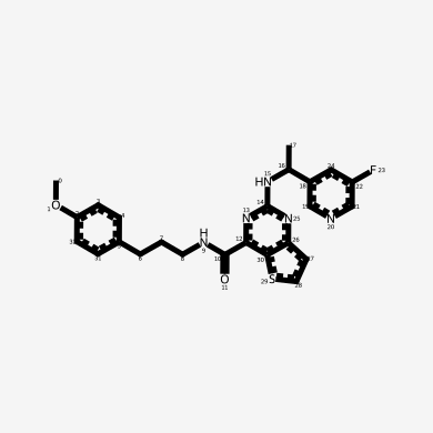 COc1ccc(CCCNC(=O)c2nc(NC(C)c3cncc(F)c3)nc3ccsc23)cc1